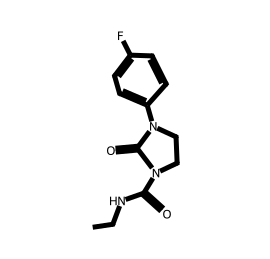 CCNC(=O)N1CCN(c2ccc(F)cc2)C1=O